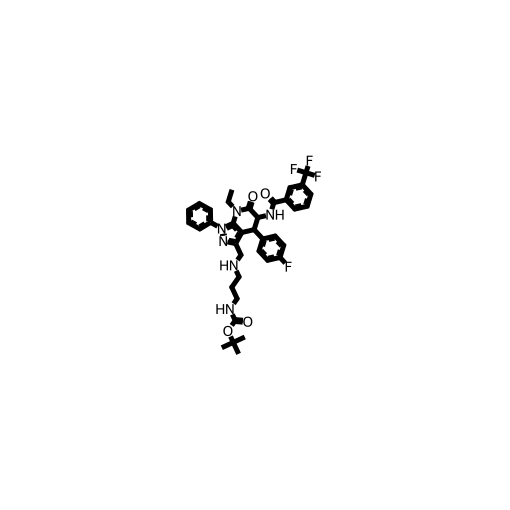 CCN1C(=O)C(NC(=O)c2cccc(C(F)(F)F)c2)C(c2ccc(F)cc2)c2c(CNCCCNC(=O)OC(C)(C)C)nn(-c3ccccc3)c21